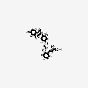 Cc1ccc(S(=O)(=O)Nc2ccc(OCCOc3ccccc3CCC(=O)O)cc2)c(C)c1